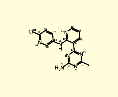 Cc1nc(N)nc(-c2cccnc2Nc2ccc(Cl)nc2)n1